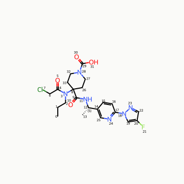 CCCN(C(=O)CCl)C1(C(=O)N[C@@H](C)c2ccc(-n3cc(F)cn3)nc2)CCN(C(=O)O)CC1